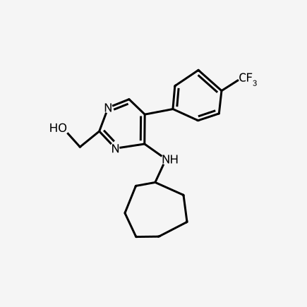 OCc1ncc(-c2ccc(C(F)(F)F)cc2)c(NC2CCCCCC2)n1